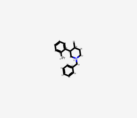 CC(C)c1ccccc1C1CN(Cc2ccccc2)CCC1C